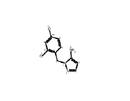 Nc1ccnn1Cc1ccc(Cl)cc1Cl